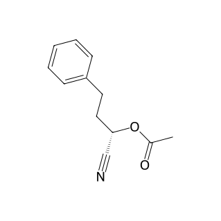 CC(=O)O[C@H](C#N)CCc1ccccc1